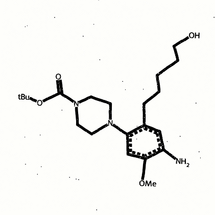 COc1cc(N2CCN(C(=O)OC(C)(C)C)CC2)c(CCCCCO)cc1N